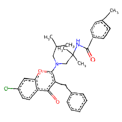 Cc1ccc(C(=O)NC(C)(C)CN(CC(C)C)c2oc3cc(Cl)ccc3c(=O)c2Cc2ccccc2)cc1